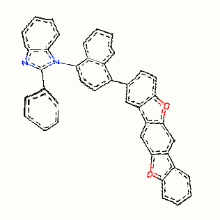 c1ccc(-c2nc3ccccc3n2-c2ccc(-c3ccc4oc5cc6c(cc5c4c3)oc3ccccc36)c3ccccc23)cc1